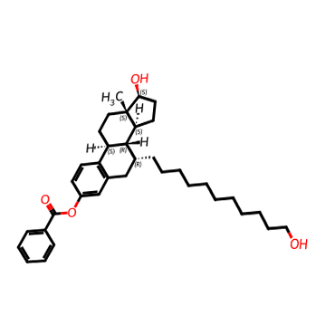 C[C@]12CC[C@@H]3c4ccc(OC(=O)c5ccccc5)cc4C[C@@H](CCCCCCCCCCCO)[C@H]3[C@@H]1CC[C@@H]2O